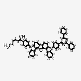 C=C/C=C\C=C(/C)c1ccc(-n2c3ccccc3c3c4oc5c(ccc6c5c5ccccc5n6-c5ccc(-c6nc(-c7ccccc7)nc(-c7ccccc7)n6)cc5)c4ccc32)cc1